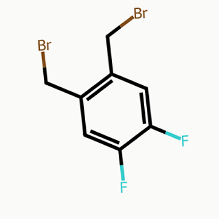 Fc1cc(CBr)c(CBr)cc1F